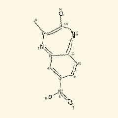 Cc1nc2cc([N+](=O)[O-])ccc2nc1Cl